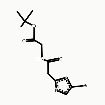 CC(C)(C)OC(=O)CNC(=O)Cc1ncc(Br)s1